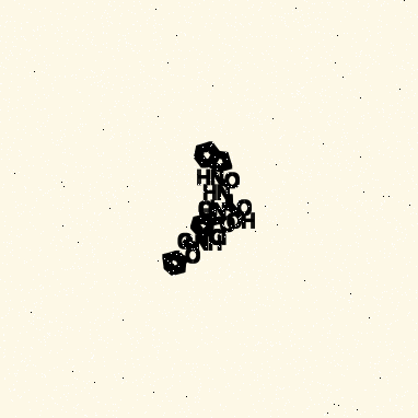 O=C(NCC(NC(=O)c1c(Cl)ccc(NC(=O)Oc2ccccc2)c1Cl)C(=O)O)NC1CCc2ccccc21